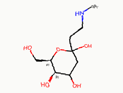 CCCNCCC1(O)CC(O)[C@@H](O)[C@@H](CO)O1